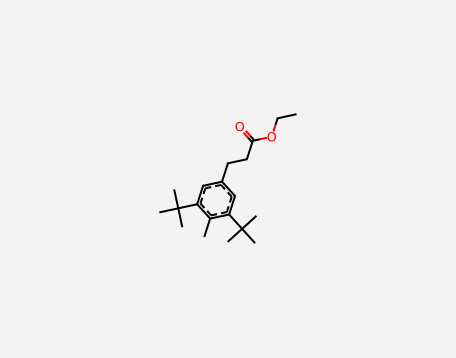 CCOC(=O)CCc1cc(C(C)(C)C)c(C)c(C(C)(C)C)c1